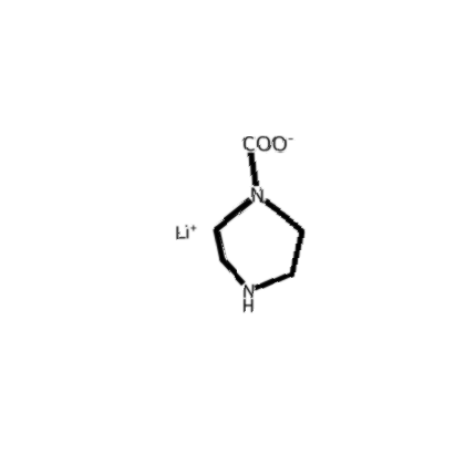 O=C([O-])N1CCNCC1.[Li+]